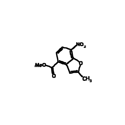 COC(=O)c1ccc([N+](=O)[O-])c2oc(C)cc12